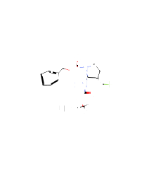 CC(C)(C)OC(=O)N[C@H]1[C@H](CF)CCN1C(=O)OCc1ccccc1